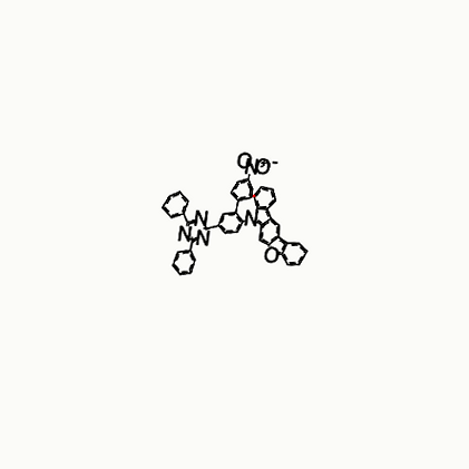 O=[N+]([O-])c1ccc(-c2cc(-c3nc(-c4ccccc4)nc(-c4ccccc4)n3)ccc2-n2c3ccccc3c3cc4c(cc32)oc2ccccc24)cc1